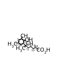 Cc1cc(C)c(O)c(C(C)(C)CCCCC(=O)O)c1